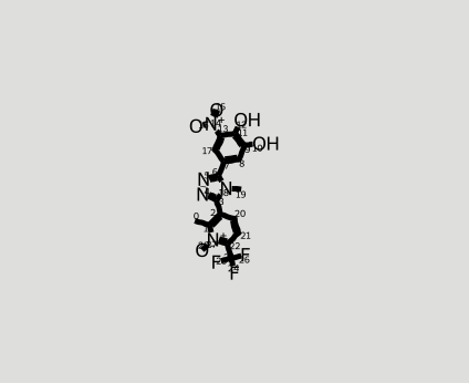 Cc1c(-c2nnc(-c3cc(O)c(O)c([N+](=O)[O-])c3)n2C)ccc(C(F)(F)F)[n+]1[O-]